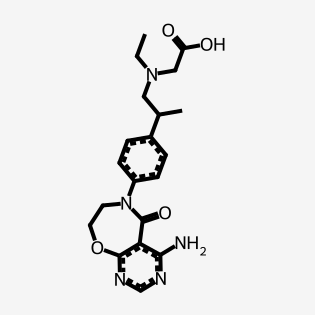 CCN(CC(=O)O)CC(C)c1ccc(N2CCOc3ncnc(N)c3C2=O)cc1